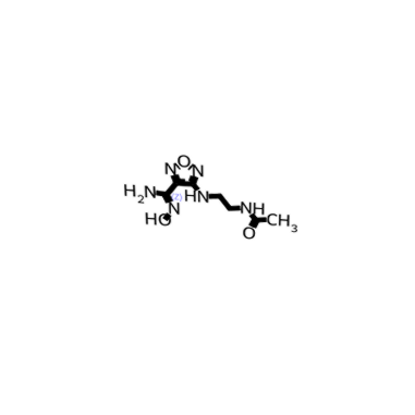 CC(=O)NCCNc1nonc1/C(N)=N/O